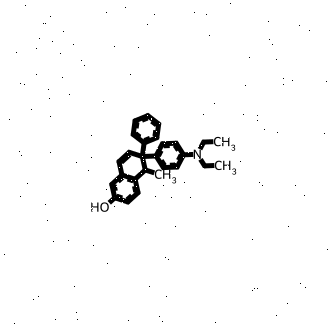 CCN(CC)c1ccc(C2(c3ccccc3)C=Cc3cc(O)ccc3C2C)cc1